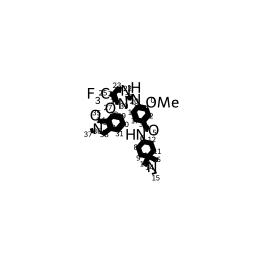 COc1cc(C(=O)NC2CCC3(CC2)CN(C)C3)ccc1Nc1ncc(C(F)(F)F)c(Oc2cccc3c2C(=O)N(C)C3)n1